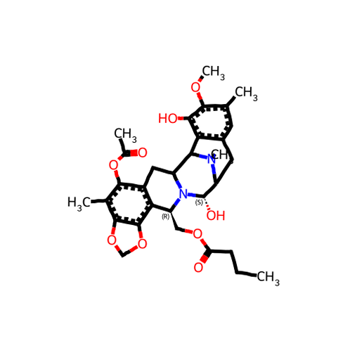 CCCC(=O)OC[C@H]1c2c(c(OC(C)=O)c(C)c3c2OCO3)CC2C3c4c(cc(C)c(OC)c4O)CC([C@H](O)N21)N3C